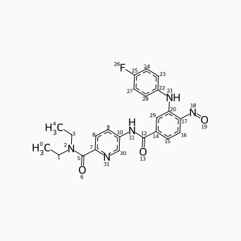 CCN(CC)C(=O)c1ccc(NC(=O)c2ccc(N=O)c(Nc3ccc(F)cc3)c2)cn1